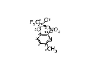 Cc1ccc(OS(=O)(=O)C(F)(F)F)c([N+](=O)[O-])n1